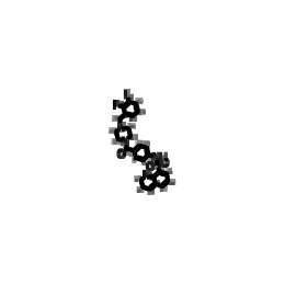 O=C(c1ccc(NS(=O)(=O)c2cccc3c2=NCCC=3)cc1)N1CCN(Cc2cccc(F)c2F)CC1